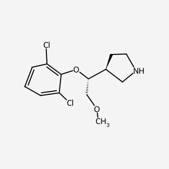 COC[C@H](Oc1c(Cl)cccc1Cl)[C@H]1CCNC1